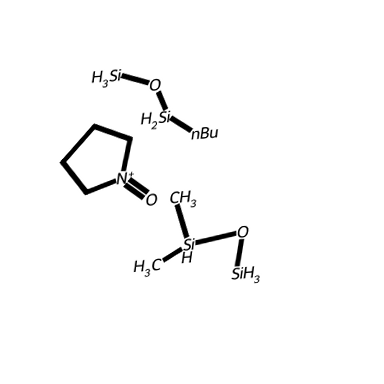 CCCC[SiH2]O[SiH3].C[SiH](C)O[SiH3].O=[N+]1CCCC1